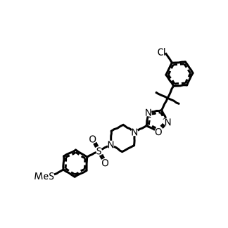 CSc1ccc(S(=O)(=O)N2CCN(c3nc(C(C)(C)c4cccc(Cl)c4)no3)CC2)cc1